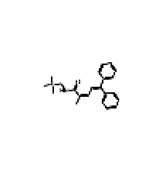 C/C(=C/C=C(c1ccccc1)c1ccccc1)C(=O)NC[Si](C)(C)C